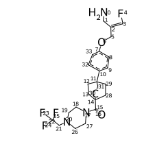 NC/C(=C\F)COc1ccc(C23CCC(C(=O)N4CCN(CC(F)(F)F)CC4)(CC2)CC3)cc1